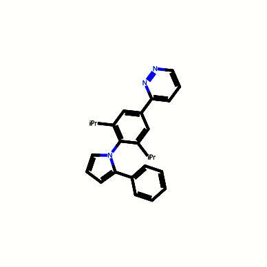 CC(C)c1cc(-c2cccnn2)cc(C(C)C)c1-n1cccc1-c1ccccc1